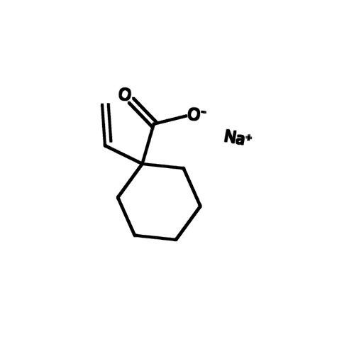 C=CC1(C(=O)[O-])CCCCC1.[Na+]